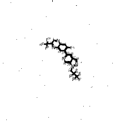 Fc1cc2ncc(C(F)(F)F)nc2cc1-c1cc2cnn(CC(F)(F)C(F)(F)F)c2cn1